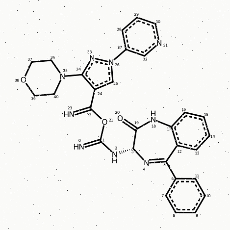 N=C(N[C@H]1N=C(c2ccccc2)c2ccccc2NC1=O)OC(=N)c1cn(-c2cccnc2)nc1N1CCOCC1